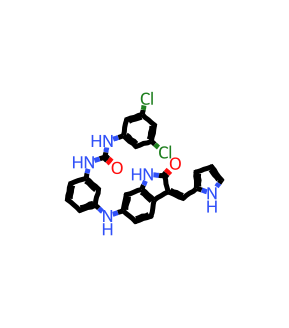 O=C(Nc1cc(Cl)cc(Cl)c1)Nc1cccc(Nc2ccc3c(c2)NC(=O)C3=Cc2ccc[nH]2)c1